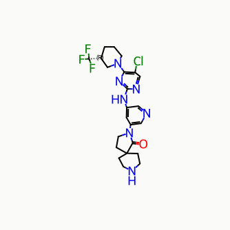 O=C1N(c2cncc(Nc3ncc(Cl)c(N4CCC[C@@H](C(F)(F)F)C4)n3)c2)CCC12CCNCC2